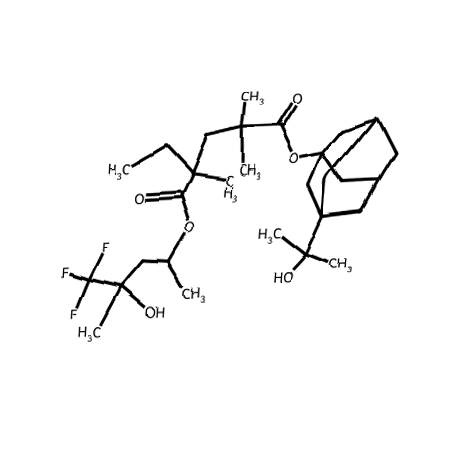 CCC(C)(CC(C)(C)C(=O)OC12CC3CC(C1)CC(C(C)(C)O)(C3)C2)C(=O)OC(C)CC(C)(O)C(F)(F)F